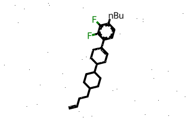 C=CCCC1CCC(C2CC=C(c3ccc(CCCC)c(F)c3F)CC2)CC1